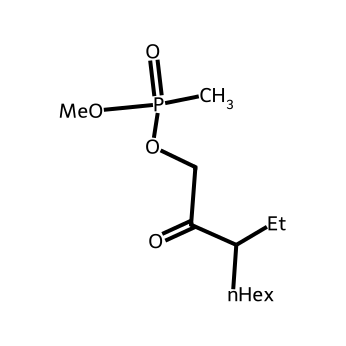 CCCCCCC(CC)C(=O)COP(C)(=O)OC